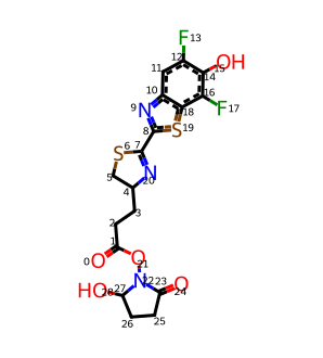 O=C(CCC1CSC(c2nc3cc(F)c(O)c(F)c3s2)=N1)ON1C(=O)CCC1O